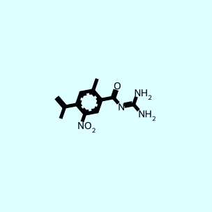 C=C(C)c1cc(C)c(C(=O)N=C(N)N)cc1[N+](=O)[O-]